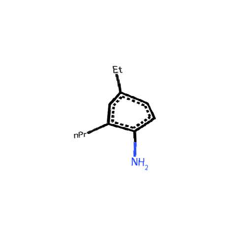 CCCc1cc(CC)ccc1N